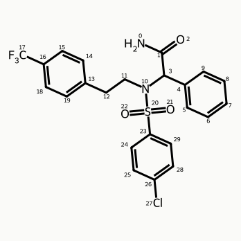 NC(=O)C(c1ccccc1)N(CCc1ccc(C(F)(F)F)cc1)S(=O)(=O)c1ccc(Cl)cc1